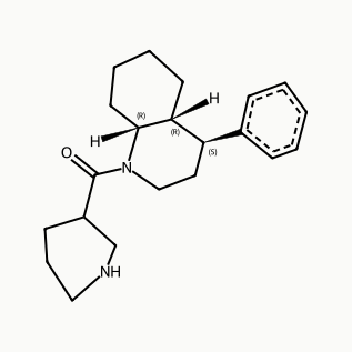 O=C(C1CCCNC1)N1CC[C@H](c2ccccc2)[C@H]2CCCC[C@H]21